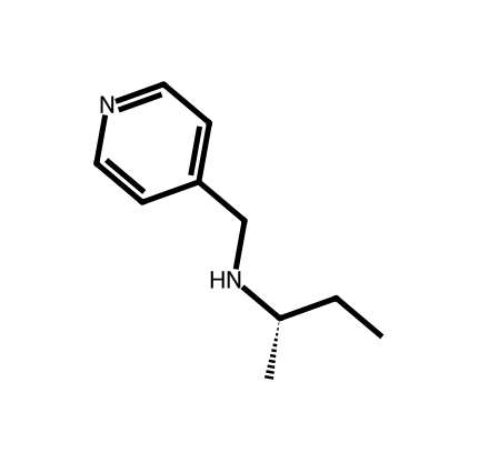 CC[C@H](C)NCc1ccncc1